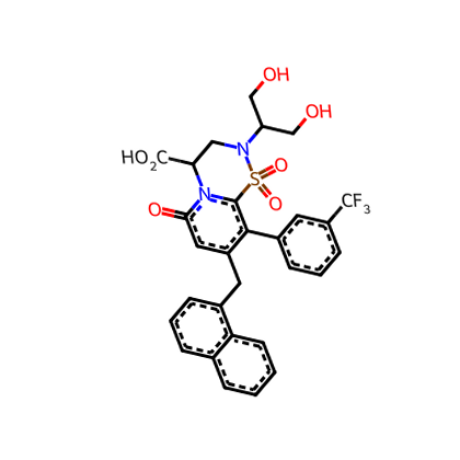 O=C(O)C1CN(C(CO)CO)S(=O)(=O)c2c(-c3cccc(C(F)(F)F)c3)c(Cc3cccc4ccccc34)cc(=O)n21